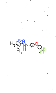 CCc1c(C)ncnc1NCCc1ccc(Oc2ccc(C(F)(F)F)cc2)cc1